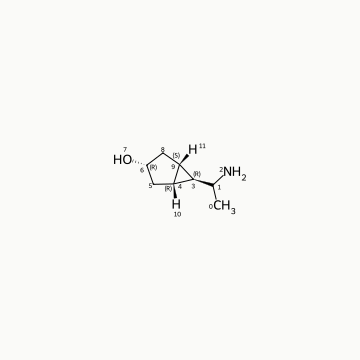 CC(N)[C@H]1[C@@H]2C[C@H](O)C[C@@H]21